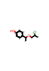 CC(Cl)COC(C)c1ccc(O)cc1